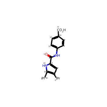 CC(C)c1cc(C(=O)Nc2ccc(C(=O)O)cc2)[nH]c1C(C)C